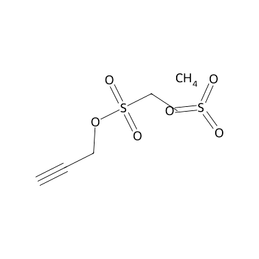 C.C#CCOS(=O)(=O)CC.O=S(=O)=O